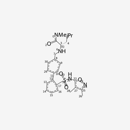 CNC(=O)[C@H](CC(C)C)NCc1ccc(-c2ccccc2S(=O)(=O)Nc2onc(C)c2C)cc1